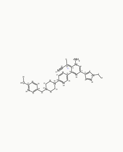 CCn1cc(C2=CN(N)/C(=C(\C)C#N)C(c3ccc(N4CCN(Cc5ccc(OC)nc5)CC4)nc3)=N2)cn1